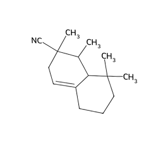 CC1C2C(=CCC1(C)C#N)CCCC2(C)C